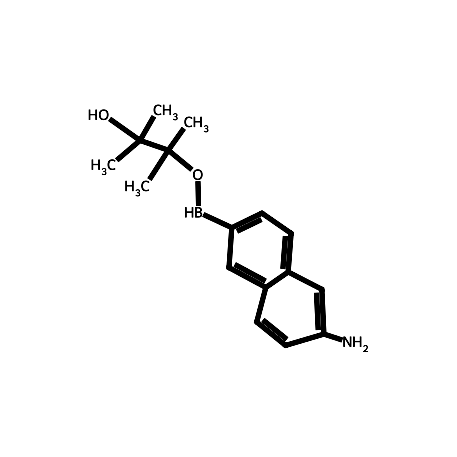 CC(C)(O)C(C)(C)OBc1ccc2cc(N)ccc2c1